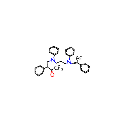 CC(=O)/C(=C\N(CCCN(CC(C(=O)C(F)(F)F)c1ccccc1)c1ccccc1)c1ccccc1)c1ccccc1